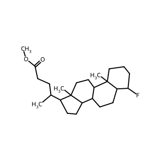 COC(=O)CCC(C)C1CCC2C3CCC4C(F)CCCC4(C)C3CCC12C